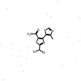 CCC(CC)c1nc(-c2s[c]nc2C)c(C(N)=O)s1